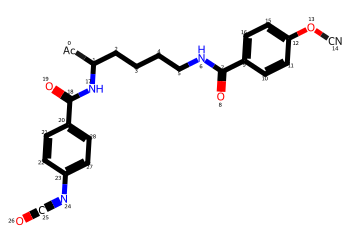 CC(=O)C(CCCCNC(=O)c1ccc(OC#N)cc1)NC(=O)c1ccc(N=C=O)cc1